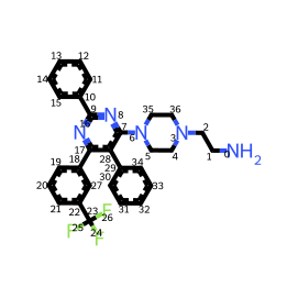 NCCN1CCN(c2nc(-c3ccccc3)nc(-c3cccc(C(F)(F)F)c3)c2-c2ccccc2)CC1